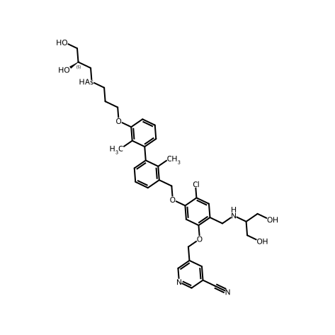 Cc1c(COc2cc(OCc3cncc(C#N)c3)c(CNC(CO)CO)cc2Cl)cccc1-c1cccc(OCCC[AsH]C[C@@H](O)CO)c1C